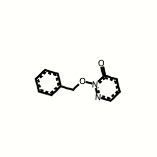 O=c1cccnn1OCc1ccccc1